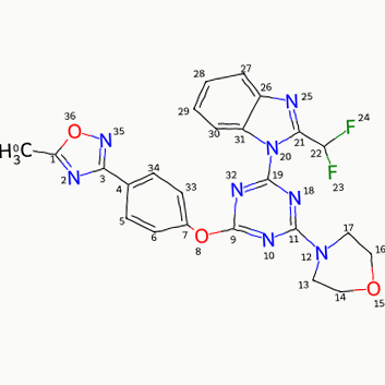 Cc1nc(-c2ccc(Oc3nc(N4CCOCC4)nc(-n4c(C(F)F)nc5ccccc54)n3)cc2)no1